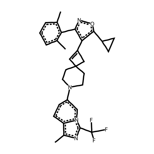 Cc1cccc(C)c1-c1noc(C2CC2)c1C1=CC2(CCN(c3ccc4c(C)nc(C(F)(F)F)n4c3)CC2)C1